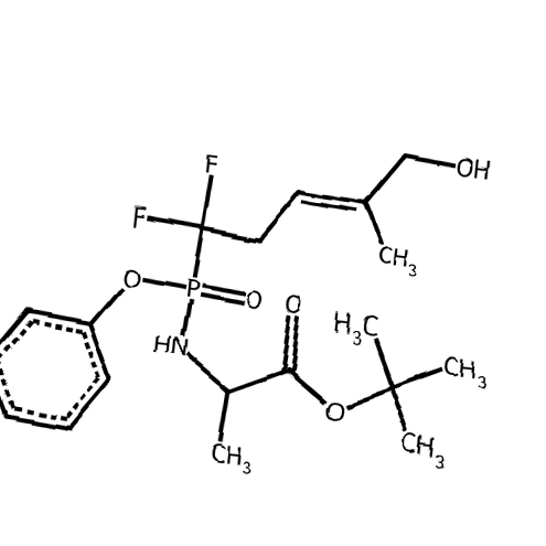 C/C(=C\CC(F)(F)P(=O)(NC(C)C(=O)OC(C)(C)C)Oc1ccccc1)CO